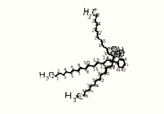 CCCCCCCCCCCCCCCC(CCCCCCCCCCCC)(CCCCCCCCCCCC)c1ccccc1S(=O)(=O)O